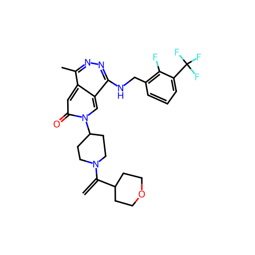 C=C(C1CCOCC1)N1CCC(n2cc3c(NCc4cccc(C(F)(F)F)c4F)nnc(C)c3cc2=O)CC1